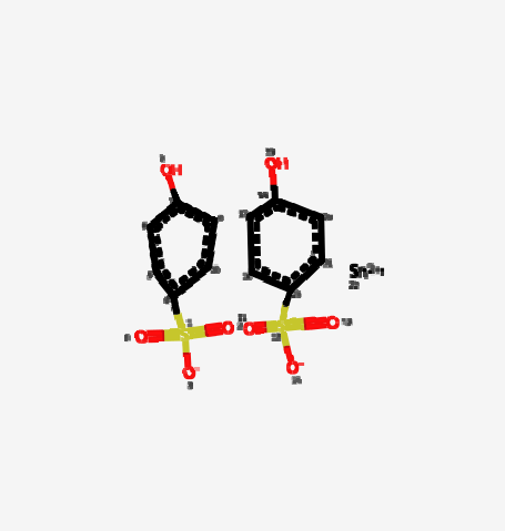 O=S(=O)([O-])c1ccc(O)cc1.O=S(=O)([O-])c1ccc(O)cc1.[Sn+2]